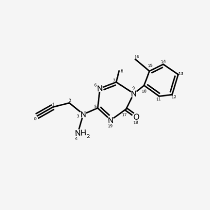 C#CCN(N)c1nc(C)n(-c2ccccc2C)c(=O)n1